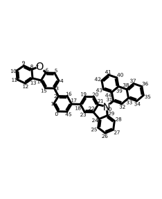 c1cc(-c2ccc3oc4ccccc4c3c2)cc(-c2ccc3c(c2)c2ccccc2n3-c2cc3ccccc3c3ccccc23)c1